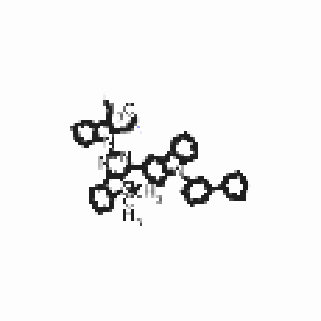 C/C=C\c1c(CI)c2ccccc2n1-c1nc(-c2ccc3c(c2)c2ccccc2n3-c2cccc(-c3ccccc3)c2)c2c(n1)-c1ccccc1[Si]2(C)C